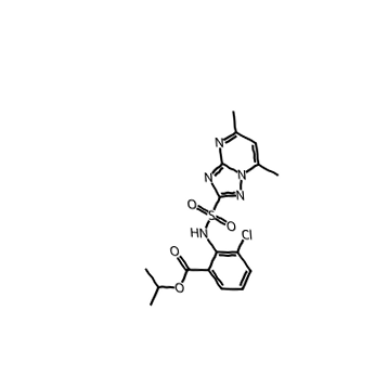 Cc1cc(C)n2nc(S(=O)(=O)Nc3c(Cl)cccc3C(=O)OC(C)C)nc2n1